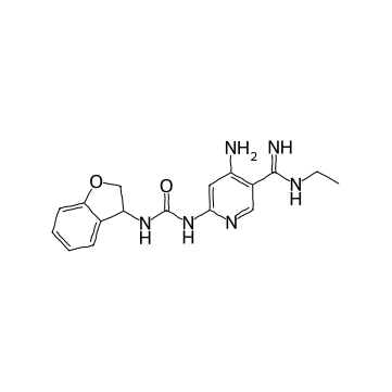 CCNC(=N)c1cnc(NC(=O)NC2COc3ccccc32)cc1N